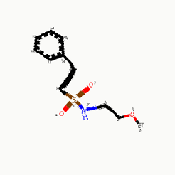 CCOCCNS(=O)(=O)/C=C/c1ccccc1